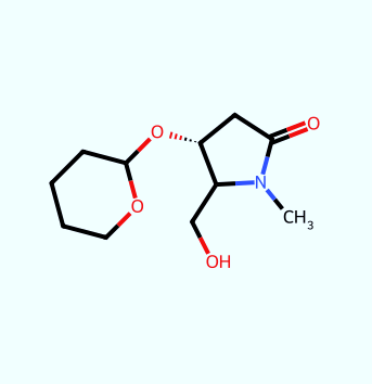 CN1C(=O)C[C@@H](OC2CCCCO2)C1CO